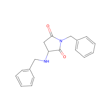 O=C1CC(NCc2ccccc2)C(=O)N1Cc1ccccc1